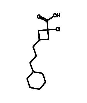 O=C(O)C1(Cl)CC(CCCC2CCCCC2)C1